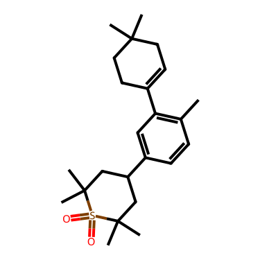 Cc1ccc(C2CC(C)(C)S(=O)(=O)C(C)(C)C2)cc1C1=CCC(C)(C)CC1